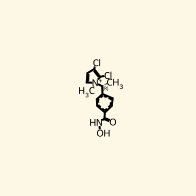 C[C@H](c1ccc(C(=O)NO)cc1)[N+]1(C)C=CC(Cl)=C1Cl